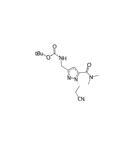 CN(C)C(=O)c1cc(CNC(=O)OC(C)(C)C)nn1CCC#N